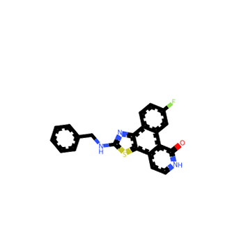 O=c1[nH]ccc2c3sc(NCc4ccccc4)nc3c3ccc(F)cc3c12